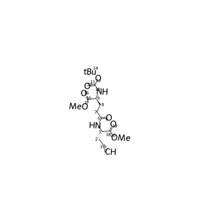 C#CC[C@H](NC(=O)CC[C@H](NC(=O)OC(C)(C)C)C(=O)OC)C(=O)OC